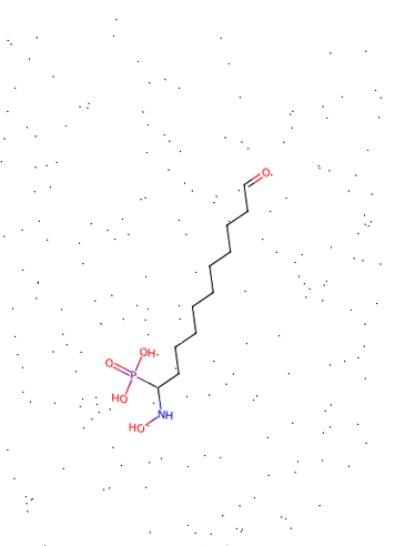 O=CCCCCCCCCCC(NO)P(=O)(O)O